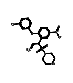 C=CC(c1cc([N+](=O)[O-])ccc1Oc1cccc(Cl)c1)S(=O)(=O)N1CCNCC1